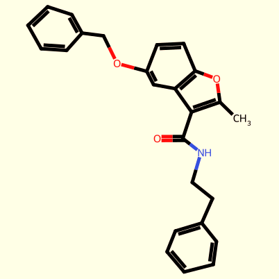 Cc1oc2ccc(OCc3ccccc3)cc2c1C(=O)NCCc1ccccc1